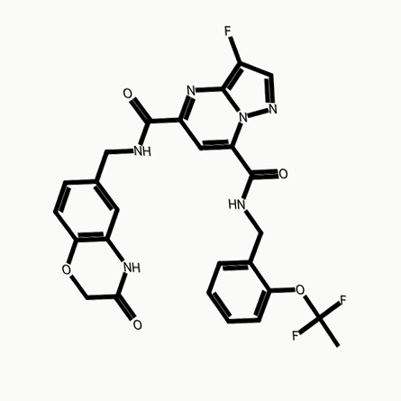 CC(F)(F)Oc1ccccc1CNC(=O)c1cc(C(=O)NCc2ccc3c(c2)NC(=O)CO3)nc2c(F)cnn12